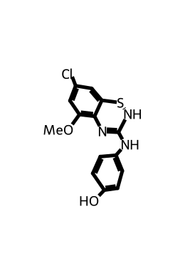 COc1cc(Cl)cc2c1N=C(Nc1ccc(O)cc1)NS2